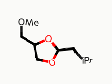 COCC1COC(CC(C)C)O1